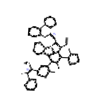 C=Cc1c(/C=C\Cc2ccccc2-c2ccccc2)n2c3ccccc3c3c(-c4cc(/C(CCC)=C(/C)c5ccccc5)ccc4C)c(C)c(-c4ccccc4C)c1c32